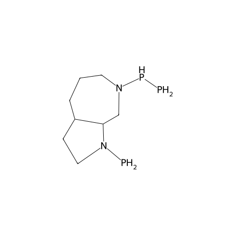 PPN1CCCC2CCN(P)C2C1